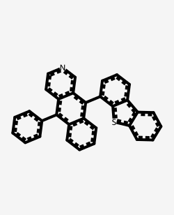 c1ccc(-c2c3ccccc3c(-c3cccc4c3sc3ccccc34)c3cnccc23)cc1